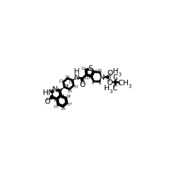 CC(C)(C)OC(=O)N1CCc2c(C(=O)N[C@H]3CC[C@H](c4n[nH]c(=O)c5ccccc54)CC3)csc2C1